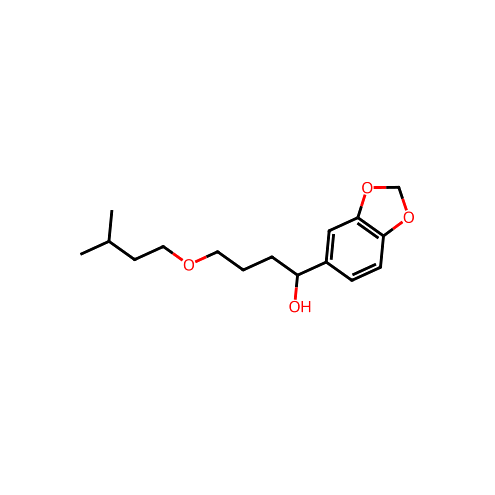 CC(C)CCOCCCC(O)c1ccc2c(c1)OCO2